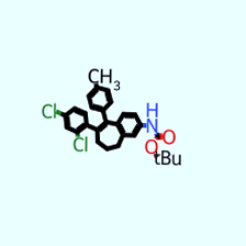 Cc1ccc(C2=C(c3ccc(Cl)cc3Cl)CCCc3cc(NC(=O)OC(C)(C)C)ccc32)cc1